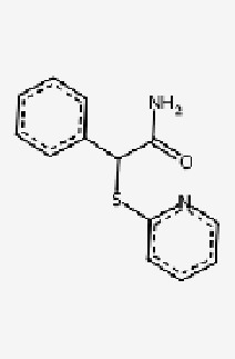 NC(=O)C(Sc1ccccn1)c1ccccc1